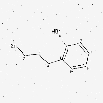 Br.[Zn][CH2]CCc1ccccc1